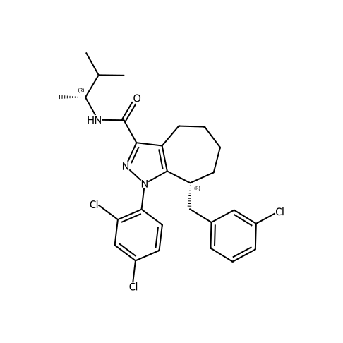 CC(C)[C@@H](C)NC(=O)c1nn(-c2ccc(Cl)cc2Cl)c2c1CCCC[C@@H]2Cc1cccc(Cl)c1